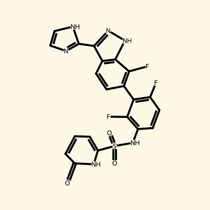 O=c1cccc(S(=O)(=O)Nc2ccc(F)c(-c3ccc4c(-c5ncc[nH]5)n[nH]c4c3F)c2F)[nH]1